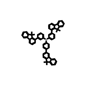 CC1(C)c2ccccc2-c2cc(-c3ccc(N(c4cccc(-c5cccc6c5C(C)(C)c5ccccc5-6)c4)c4cccc(-c5cccc6c5C(C)(C)c5ccccc5-6)c4)cc3)ccc21